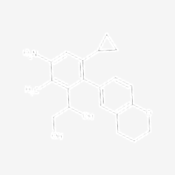 Cc1c([N+](=O)[O-])cc(C2CC2)c(-c2ccc3c(c2)CCCO3)c1C(O)CO